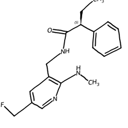 CC[C@H](C(=O)NCc1cc(CF)cnc1NC)c1ccccc1